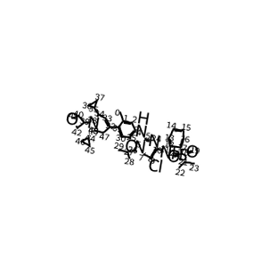 Cc1cc(Nc2ncc(Cl)c(Nc3ccccc3S(=O)(=O)C(C)C)n2)c(OC(C)C)cc1C1=CC(C2CC2)N(C2COC2)[C@@H](C2CC2)C1